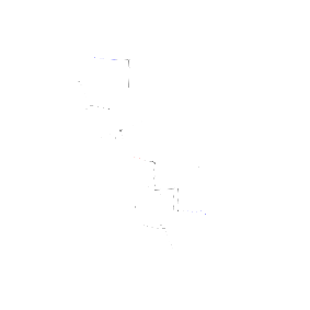 Cc1ccc(C(=O)OC(C)(C)C2CCNCC2)c(C)c1[N+](=O)[O-]